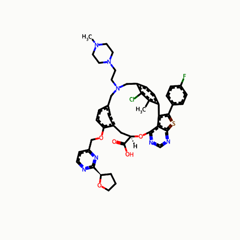 Cc1c2ccc(c1Cl)CN(CCN1CCN(C)CC1)Cc1ccc(OCc3ccnc([C@H]4CCCO4)n3)c(c1)C[C@H](C(=O)O)Oc1ncnc3sc(-c4ccc(F)cc4)c-2c13